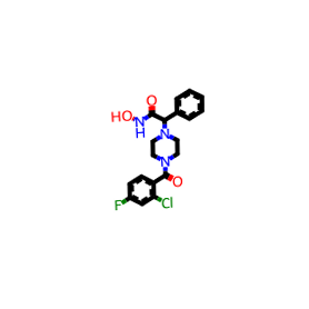 O=C(NO)C(c1ccccc1)N1CCN(C(=O)c2ccc(F)cc2Cl)CC1